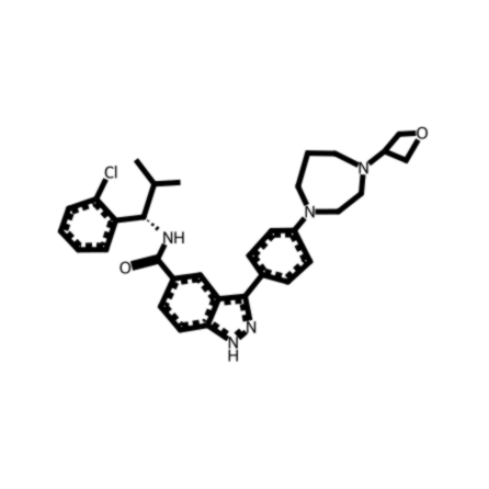 CC(C)[C@H](NC(=O)c1ccc2[nH]nc(-c3ccc(N4CCCN(C5COC5)CC4)cc3)c2c1)c1ccccc1Cl